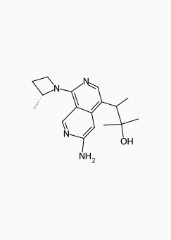 CC(c1cnc(N2CC[C@H]2C)c2cnc(N)cc12)C(C)(C)O